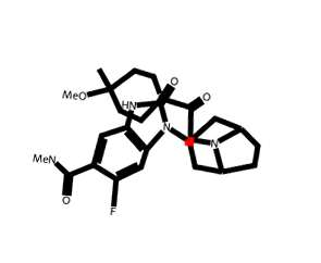 CNC(=O)c1cc2[nH]c(=O)n(C3CC4CCC(C3)N4CC(=O)N3CCC(C)(OC)CC3)c2cc1F